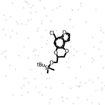 CC(C)(C)[Si](C)(C)OCC1COc2c(cc(Cl)c3occc23)O1